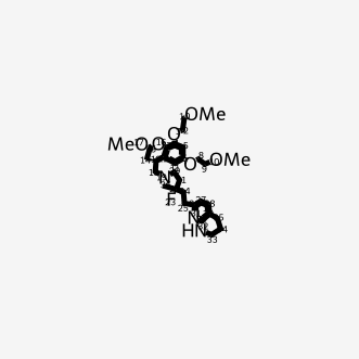 COCCOc1cc(OCCOC)cc([C@H](CC(=O)OC)CN2CC[C@@](F)(CCc3ccc4c(n3)NCCC4)C2)c1